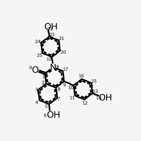 O=c1c2ccc(O)cc2c(-c2ccc(O)cc2)cn1-c1ccc(O)cc1